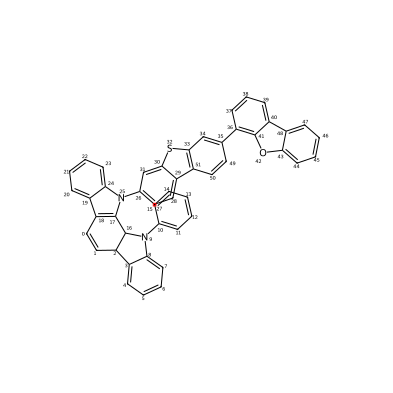 C1=CC2c3ccccc3N(c3ccccc3)C2c2c1c1ccccc1n2-c1ccc2c(c1)sc1cc(-c3cccc4c3oc3ccccc34)ccc12